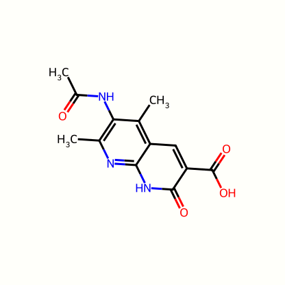 CC(=O)Nc1c(C)nc2[nH]c(=O)c(C(=O)O)cc2c1C